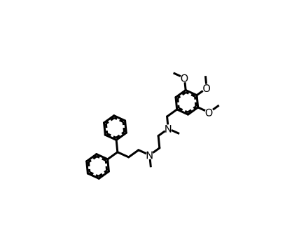 COc1cc(CN(C)CCN(C)CCC(c2ccccc2)c2ccccc2)cc(OC)c1OC